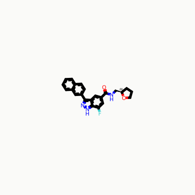 O=C(NC[C@H]1CCCO1)c1cc(F)c2[nH]nc(-c3ccc4ccccc4c3)c2c1